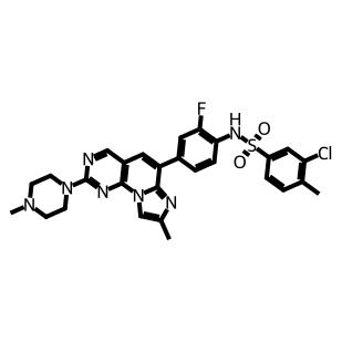 Cc1cn2c(n1)c(-c1ccc(NS(=O)(=O)c3ccc(C)c(Cl)c3)c(F)c1)cc1cnc(N3CCN(C)CC3)nc12